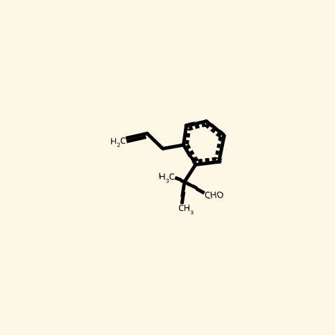 C=CCc1ccccc1C(C)(C)C=O